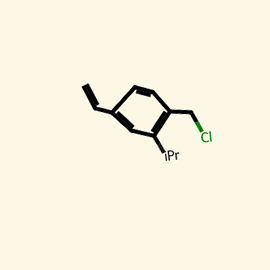 C=Cc1ccc(CCl)c(C(C)C)c1